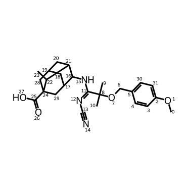 COc1ccc(COC(C)(C)C(=NC#N)NC2C3CC4CC2C(C)C(C(=O)O)(C4)C3)cc1